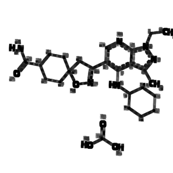 CCn1nc(C)c2c(NC3CCCCC3)c(C3=NOC4(CCC(C(N)=O)CC4)C3)cnc21.O=C(O)O